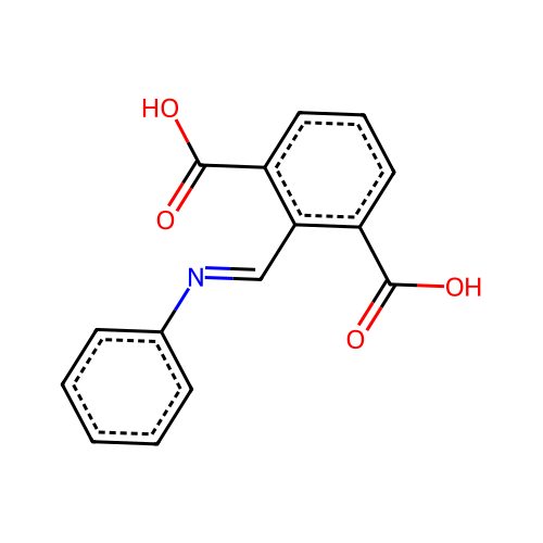 O=C(O)c1cccc(C(=O)O)c1/C=N/c1ccccc1